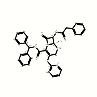 O=C(Cc1ccccc1)N[C@@H]1C(=O)N2C(C(=O)OC(c3ccccc3)c3ccccc3)=C(Sc3ncccn3)CS[C@H]12